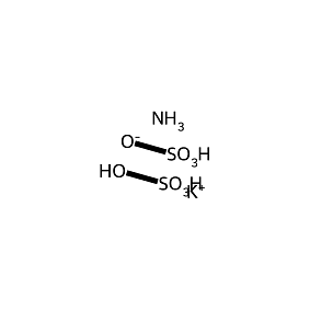 N.O=S(=O)(O)O.O=S(=O)([O-])O.[K+]